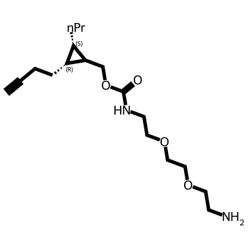 C#CCC[C@H]1C(COC(=O)NCCOCCOCCN)[C@H]1CCC